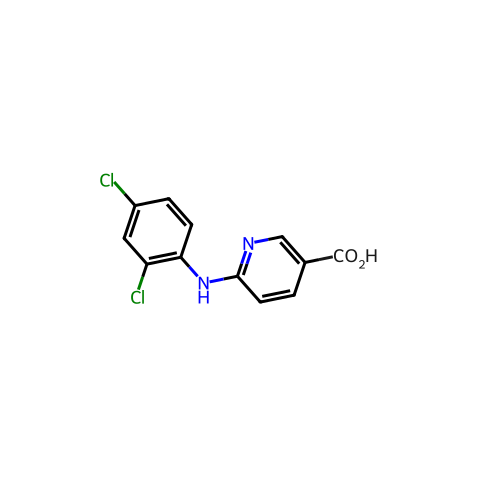 O=C(O)c1ccc(Nc2ccc(Cl)cc2Cl)nc1